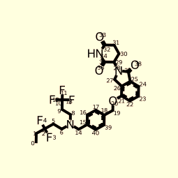 CCC(F)(F)CCN(CCC(F)(F)F)Cc1ccc(COc2cccc3c2CN(C2CCC(=O)NC2=O)C3=O)cc1